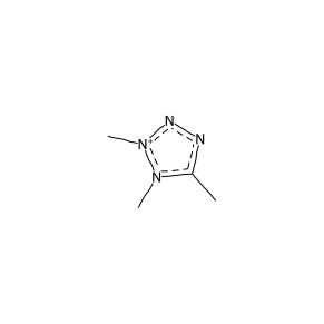 Cc1nn[n+](C)n1C